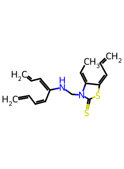 C=C/C=C\C(=C/C=C)NCn1c(=S)sc(=C/C=C)/c1=C\C